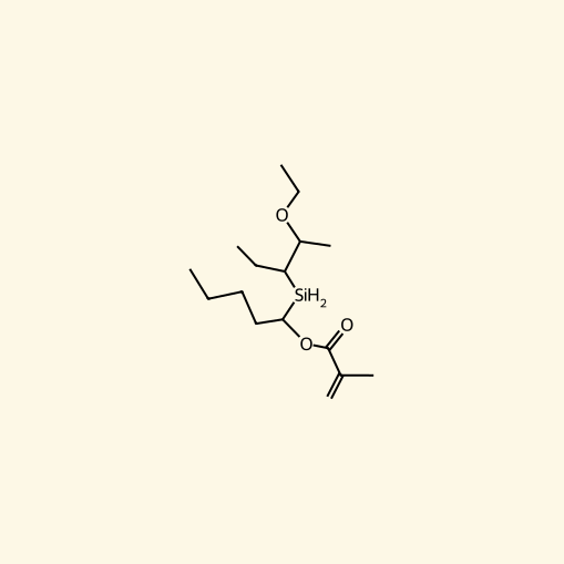 C=C(C)C(=O)OC(CCCC)[SiH2]C(CC)C(C)OCC